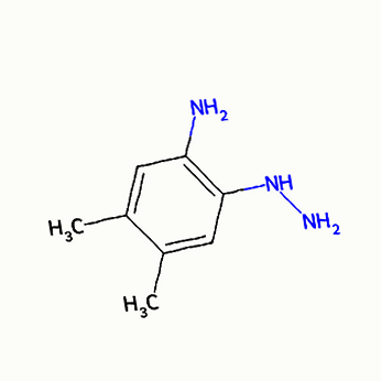 Cc1cc(N)c(NN)cc1C